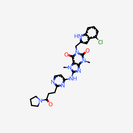 Cn1c(Nc2ccnc(CCC(=O)N3CCCC3)n2)nc2c1c(=O)n(Cc1cc3c(Cl)cccc3[nH]1)c(=O)n2C